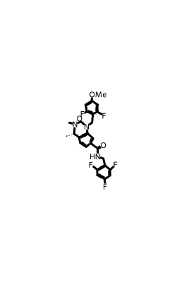 COc1cc(F)c(CN2C(=O)N(C)[C@@H](C)c3ccc(C(=O)NCc4c(F)cc(F)cc4F)cc32)c(F)c1